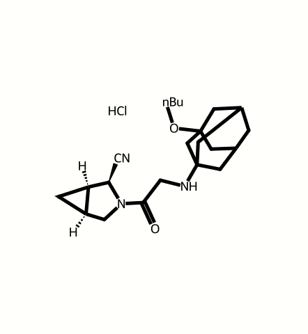 CCCCOC12CC3CC(CC(NCC(=O)N4C[C@H]5C[C@H]5[C@H]4C#N)(C3)C1)C2.Cl